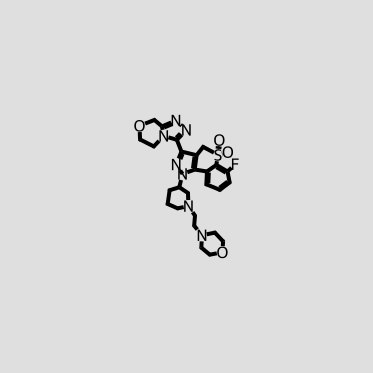 O=S1(=O)Cc2c(-c3nnc4n3CCOC4)nn(C3CCCN(CCN4CCOCC4)C3)c2-c2cccc(F)c21